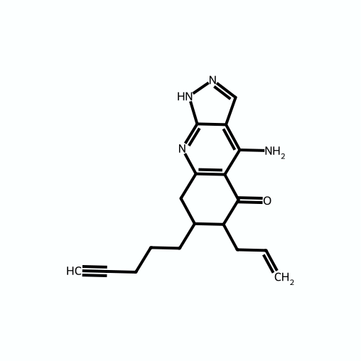 C#CCCCC1Cc2nc3[nH]ncc3c(N)c2C(=O)C1CC=C